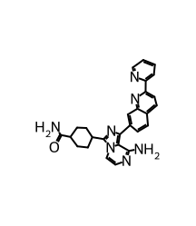 NC(=O)C1CCC(c2nc(-c3ccc4ccc(-c5ccccn5)nc4c3)c3c(N)nccn23)CC1